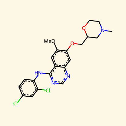 COc1cc2c(Nc3ccc(Cl)cc3Cl)ncnc2cc1OCC1CN(C)CCO1